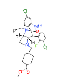 COC(=O)C1CCC(CN2CC[C@H]3[C@@H]2[C@H](c2cccc(Cl)c2F)[C@]2(C(=O)Nc4cc(Cl)ccc42)N3CC2CC2)CC1